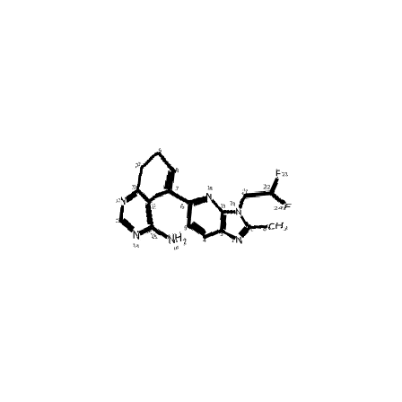 Cc1nc2ccc(C3=CCCc4ncnc(N)c43)nc2n1CC(F)F